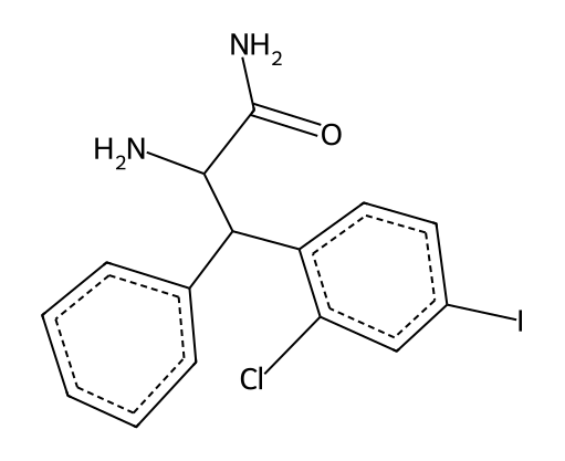 NC(=O)C(N)C(c1ccccc1)c1ccc(I)cc1Cl